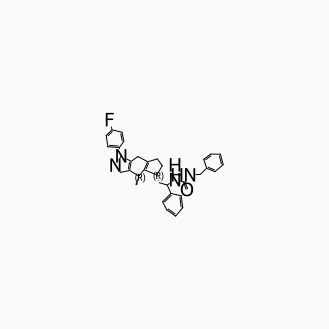 C[C@@H]1C2=C(CC[C@@H]2CC(NC(=O)NCc2ccccc2)c2ccccc2)Cc2c1cnn2-c1ccc(F)cc1